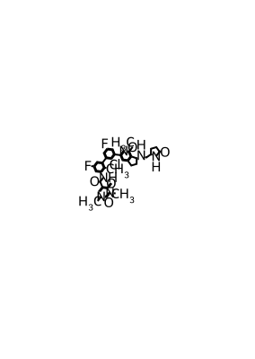 COc1nc(-c2cc(F)cc(-c3cc(F)cc(NC(=O)c4cn(C)c(=O)n(C)c4=O)c3C)c2Cl)cc2c1C(NCC1CCC(=O)N1)CC2